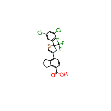 O=C(O)c1ccc(C2=CSC(c3cc(Cl)cc(Cl)c3)(C(F)(F)F)C2)c2c1CCC2